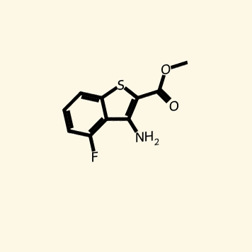 COC(=O)c1sc2cccc(F)c2c1N